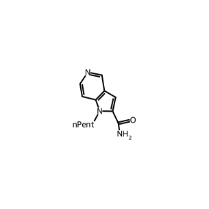 CCCCCn1c(C(N)=O)cc2cnccc21